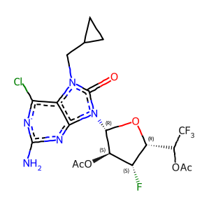 CC(=O)OC([C@H]1O[C@@H](n2c(=O)n(CC3CC3)c3c(Cl)nc(N)nc32)[C@H](OC(C)=O)[C@H]1F)C(F)(F)F